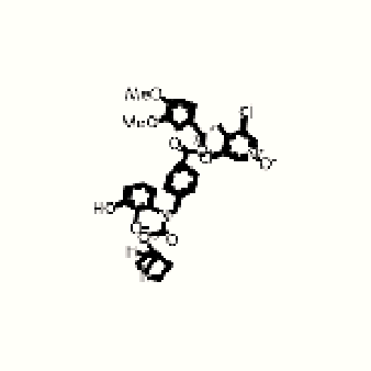 COc1ccc([C@H](Cc2c(Cl)c[n+]([O-])cc2Cl)OC(=O)c2ccc(CN(C(=O)O[C@H]3CN4CCC3CC4)c3cccc(O)c3C)cc2)cc1OC